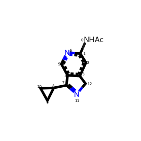 CC(=O)Nc1cc2c(cn1)C(C1CC1)=NC2